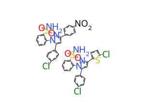 NS(=O)(=O)c1ccccc1-n1nc(-c2ccc(Cl)s2)cc1-c1ccc(Cl)cc1.NS(=O)(=O)c1ccccc1-n1nc(-c2ccc([N+](=O)[O-])cc2)cc1-c1ccc(Cl)cc1